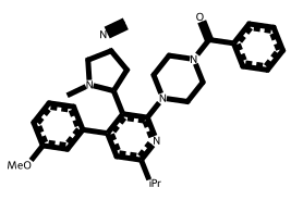 C#N.COc1cccc(-c2cc(C(C)C)nc(N3CCN(C(=O)c4ccccc4)CC3)c2C2CCCN2C)c1